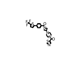 O=C(c1ccc(-c2ccc(C(F)(F)F)s2)cc1)N1CC(N2CCN(C(=O)c3cncs3)CC2)C1